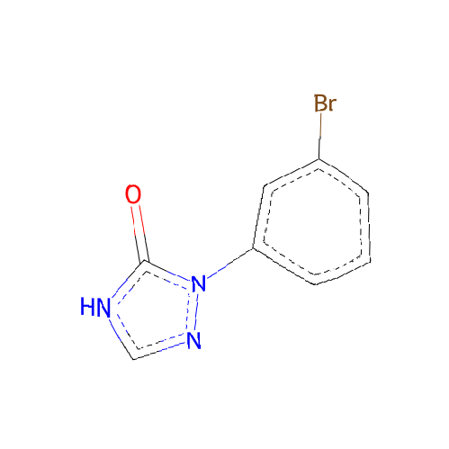 O=c1[nH]cnn1-c1cccc(Br)c1